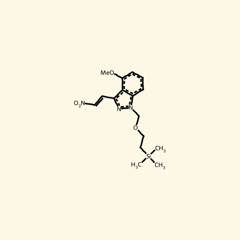 COc1cccc2c1c(C=C[N+](=O)[O-])nn2COCC[Si](C)(C)C